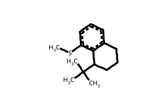 CSc1cccc2c1C(C(C)(C)C)CCC2